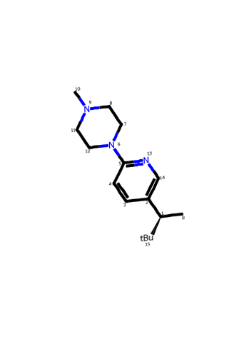 C[C@H](c1ccc(N2CCN(C)CC2)nc1)C(C)(C)C